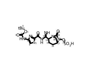 CC(C)(C)OC(=O)Nc1csc(C(=O)NC(=N)C2CCC3CN2C(=O)N3OS(=O)(=O)O)n1